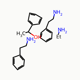 CC(O)c1ccccc1.CCN.NCCc1ccccc1.NCCc1ccccc1